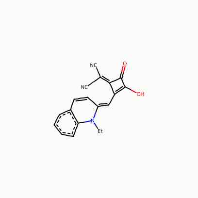 CCN1/C(=C/C2=C(O)C(=O)C2=C(C#N)C#N)C=Cc2ccccc21